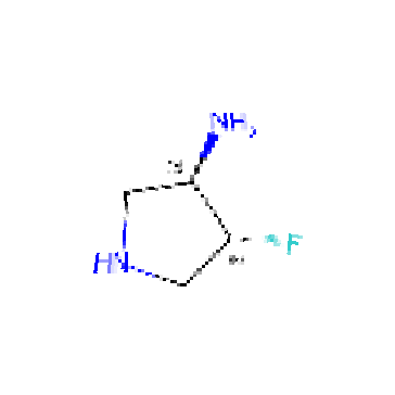 N[C@@H]1CNC[C@H]1F